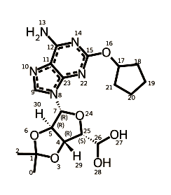 CC1(C)O[C@@H]2[C@@H](O1)[C@H](n1cnc3c(N)nc(OC4CCCC4)nc31)O[C@@H]2C(O)O